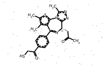 CC(=O)C[C@@H]1N=C(c2ccc(C(=O)CS)cc2)c2c(sc(C)c2C)-n2c(C)nnc21